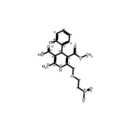 COC(=O)C1=C(COCC[N+](=O)[O-])NC(C)=C(C(=O)O)C1c1ccccc1Cl